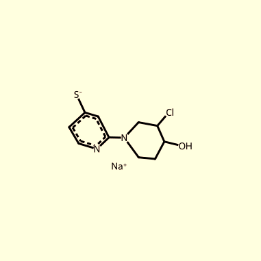 OC1CCN(c2cc([S-])ccn2)CC1Cl.[Na+]